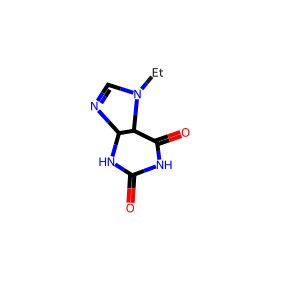 [CH2]CN1C=NC2NC(=O)NC(=O)C21